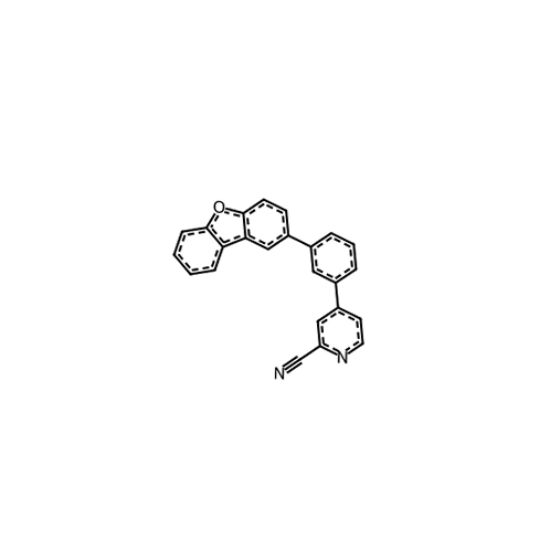 N#Cc1cc(-c2cccc(-c3ccc4oc5ccccc5c4c3)c2)ccn1